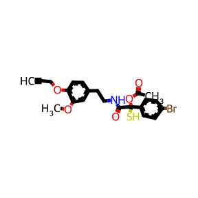 C#CCOc1ccc(CCNC(=O)C(S)(OC(C)=O)c2ccc(Br)cc2)cc1OC